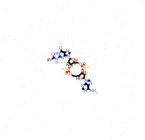 CC(C)C(=O)Nc1nc2c(ncn2[C@@H]2O[C@@H]3CO[P@@](=O)(S)O[C@H]4[C@@H](F)[C@H](n5cnc6c(N)ncnc65)O[C@@H]4CCO[P@@](=O)(S)O[C@H]3[C@H]2F)c(=O)[nH]1